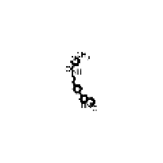 Cc1ccc(C(=O)NCCCc2ccc(-c3ccc4[nH]c(=O)ccc4c3)cc2)cn1